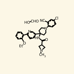 CCOc1ccccc1-c1ccc(C2(NC(=O)C3CN(C)C3)CCN(c3ccc(Cl)cc3C#N)CC2)cn1.O=CO